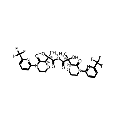 C[C@](O)(C(=O)OC(=O)[C@](C)(O)[C@H]1OCCN(c2cccc(C(F)(F)F)n2)C1=O)[C@H]1OCCN(c2cccc(C(F)(F)F)n2)C1=O